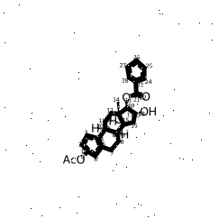 CC(=O)Oc1ccc2c(c1)CC[C@@H]1[C@@H]2CC[C@@]2(C)[C@H]1C[C@@H](O)[C@@H]2OC(=O)c1ccccc1